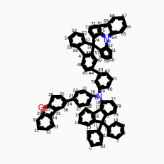 c1ccc(C2(c3ccccc3)c3ccccc3-c3c(N(c4ccc(-c5ccc6oc7ccccc7c6c5)cc4)c4cccc(-c5ccc6c(c5)C5(c7ccccc7-6)c6ccccc6-n6c7ccccc7c7cccc5c76)c4)cccc32)cc1